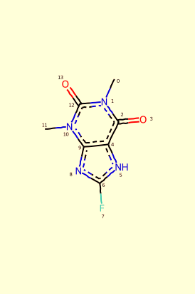 Cn1c(=O)c2[nH]c(F)nc2n(C)c1=O